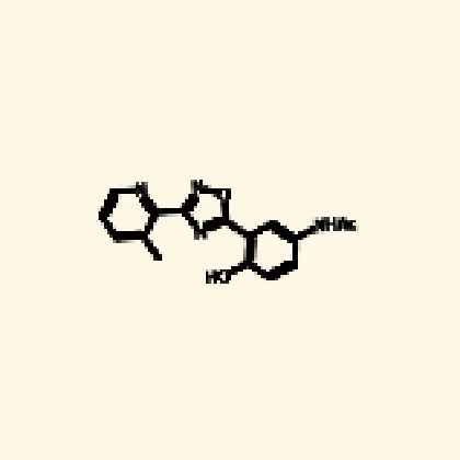 CC(=O)Nc1ccc(O)c(-c2nc(-c3ncccc3C)no2)c1